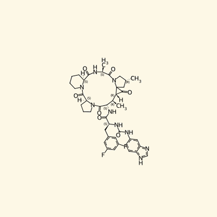 C[C@H]1CN2C(=O)[C@H](C)NC(=O)[C@@H]3CCCCN3C(=O)[C@@H]3CCCN3C(=O)[C@@H](NC(=O)[C@H](Cc3cc(F)cc(F)c3)NC(=O)Nc3ccc4[nH]cnc4c3)[C@H](C)[C@H]3C(=O)C32C1